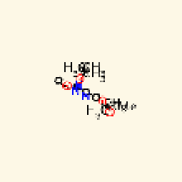 COC(=O)C(C)(C)COc1ccc(-c2ccc(-c3nc(COCc4ccccc4)cn3COCC[Si](C)(C)C)cn2)cc1